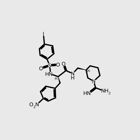 N=C(N)N1CCC[C@H](CNC(=O)[C@@H](Cc2ccc([N+](=O)[O-])cc2)NS(=O)(=O)c2ccc(I)cc2)C1